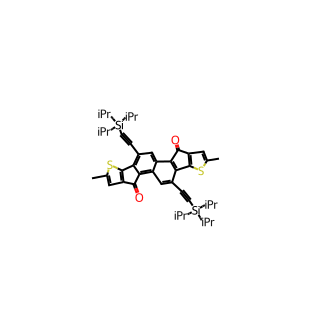 Cc1cc2c(=O)c3c4cc(C#C[Si](C(C)C)(C(C)C)C(C)C)c5c6sc(C)cc6c(=O)c5c4cc(C#C[Si](C(C)C)(C(C)C)C(C)C)c3c2s1